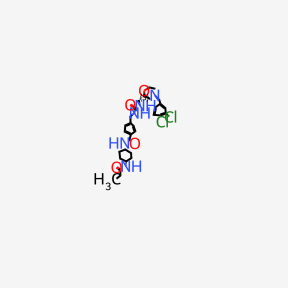 CCC(=O)N[C@H]1CC[C@@H](NC(=O)c2ccc(CNC(=O)NC[C@H]3CN(Cc4ccc(Cl)c(Cl)c4)CCO3)cc2)CC1